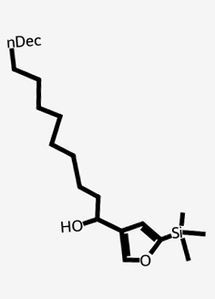 CCCCCCCCCCCCCCCCCCC(O)c1coc([Si](C)(C)C)c1